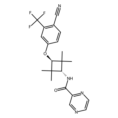 CC1(C)[C@H](NC(=O)c2cnccn2)C(C)(C)[C@H]1Oc1ccc(C#N)c(C(F)(F)F)c1